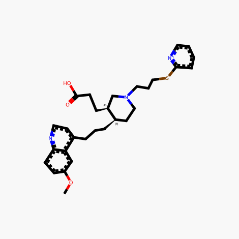 COc1ccc2nccc(CCC[C@@H]3CCN(CCCSc4ccccn4)C[C@@H]3CCC(=O)O)c2c1